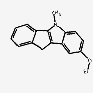 CCOc1ccc2c(c1)c1c(n2C)-c2ccccc2C1